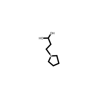 OC(O)CCN1CCCC1